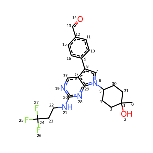 CC1(O)CCC(n2cc(-c3ccc(C=O)cc3)c3cnc(NCCC(F)(F)F)nc32)CC1